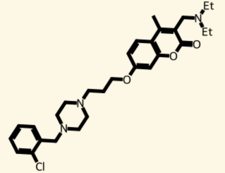 CCN(CC)Cc1c(C)c2ccc(OCCCN3CCN(Cc4ccccc4Cl)CC3)cc2oc1=O